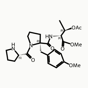 COC(=O)[C@H](NC(=O)[C@]1(Cc2ccc(OC)cc2)CCCN1C(=O)[C@@H]1CCCN1)[C@@H](C)OC(C)=O